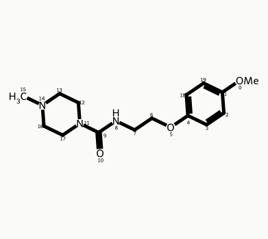 COc1ccc(OCCNC(=O)N2CCN(C)CC2)cc1